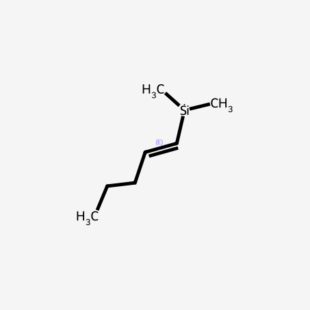 CCC/C=C/[Si](C)C